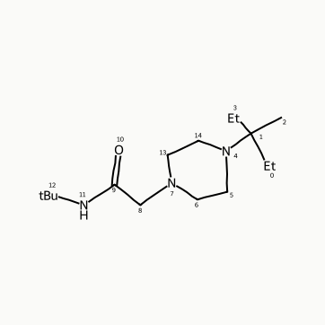 CCC(C)(CC)N1CCN(CC(=O)NC(C)(C)C)CC1